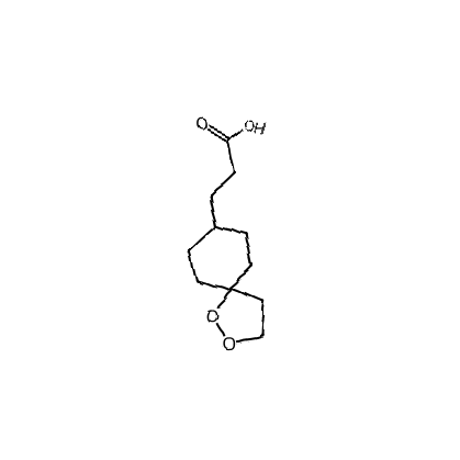 O=C(O)CCC1CCC2(CCOO2)CC1